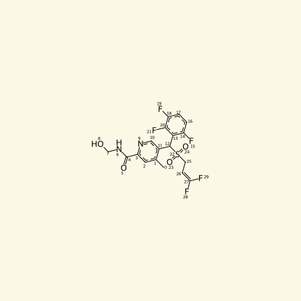 Cc1cc(C(=O)NCO)ncc1C(c1c(F)ccc(F)c1F)S(=O)(=O)CC=C(F)F